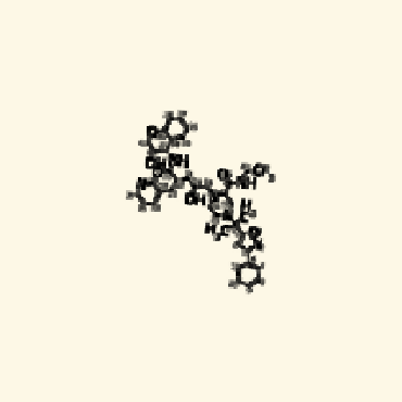 CC(C)(c1cc(-c2ccccc2)no1)N1CCN(C[C@@H](O)C[C@@H](Cc2cccnc2)C(=O)N[C@H]2c3ccccc3OC[C@H]2O)C(C(=O)NCC(F)(F)F)C1